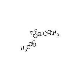 CCOC(=O)CCc1cc(F)c(F)c(OCc2ccc(OC)cc2)c1